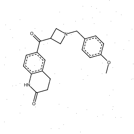 COc1ccc(CN2CC(C(=O)c3ccc4c(c3)CCC(=O)N4)C2)cc1